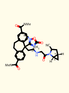 CNC(=O)c1ccc2c(c1)CCc1cc(C(=O)NC)ccc1C2(C[C@@H](C)NCC(=O)N1C(C#N)C[C@@H]2C[C@@H]21)c1nc(=O)on1C(C)C